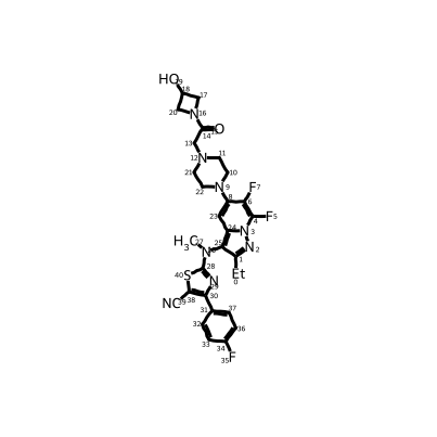 CCc1nn2c(F)c(F)c(N3CCN(CC(=O)N4CC(O)C4)CC3)cc2c1N(C)c1nc(-c2ccc(F)cc2)c(C#N)s1